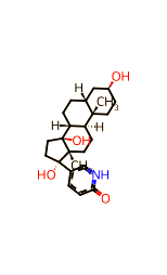 C[C@]12CC[C@H](O)C[C@H]1CC[C@@H]1[C@@H]2CC[C@]2(C)[C@@](O)(c3ccc(=O)[nH]c3)CC[C@]12O